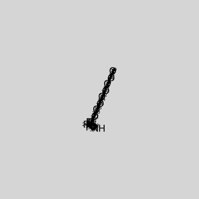 COCCOCCOCCOCCOCCOCCOCCOCCOC1(C(F)(F)F)CCNCC1